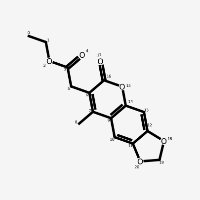 CCOC(=O)Cc1c(C)c2cc3c(cc2oc1=O)OCO3